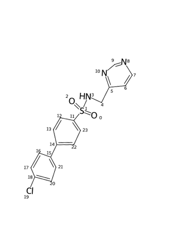 O=S(=O)(NCc1ccncn1)c1ccc(-c2ccc(Cl)cc2)cc1